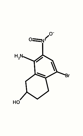 Nc1c([N+](=O)[O-])cc(Br)c2c1CC(O)CC2